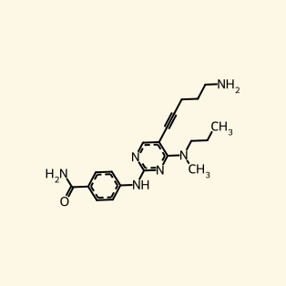 CCCN(C)c1nc(Nc2ccc(C(N)=O)cc2)ncc1C#CCCCN